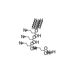 N#CCCC(=O)O.N#CCCC(=O)O.N#CCCC(=O)O.N#CCCC(=O)O.[NaH].[NaH].[NaH].[NaH].[NaH].[NaH]